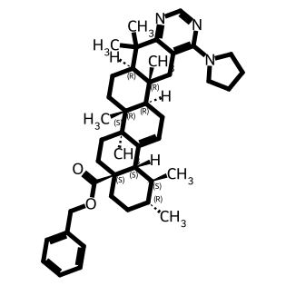 C[C@H]1[C@H](C)CC[C@]2(C(=O)OCc3ccccc3)CC[C@]3(C)C(=CC[C@@H]4[C@@]5(C)Cc6c(N7CCCC7)ncnc6C(C)(C)[C@@H]5CC[C@]43C)[C@H]12